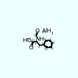 O=CNC(Cc1ccccc1)C(=O)O.[AlH3]